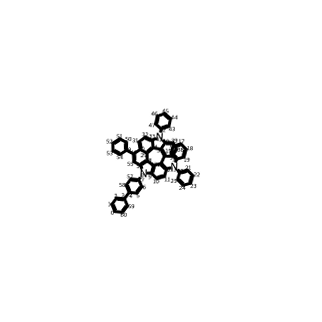 c1ccc(-c2ccc(-n3c4ccc(N(c5ccccc5)c5ccccc5)c5c4c4c6c(ccc7c6c6c-5cccc6n7-c5ccccc5)c(-c5ccccc5)cc43)cc2)cc1